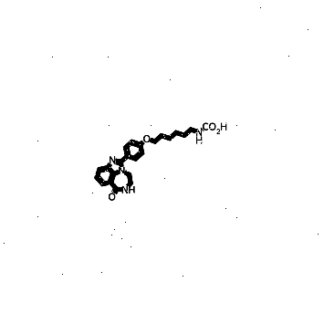 O=C(O)NCCCCCCOc1ccc(-c2nc3cccc4c3n2CCNC4=O)cc1